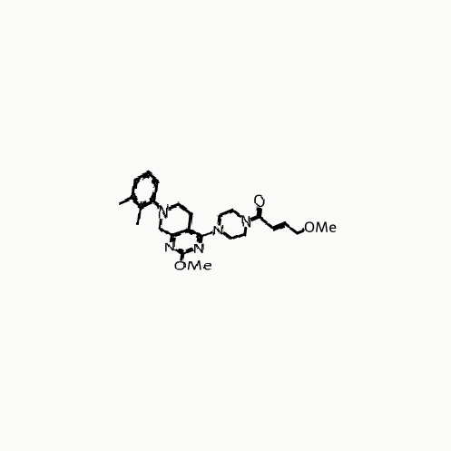 COC/C=C/C(=O)N1CCN(c2nc(OC)nc3c2CCN(c2cccc(C)c2C)C3)CC1